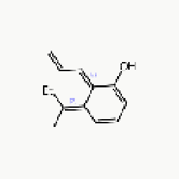 C=C/C=c1/c(O)ccc/c1=C(\C)CC